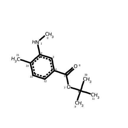 CNc1cc(C(=O)OC(C)(C)C)ccc1C